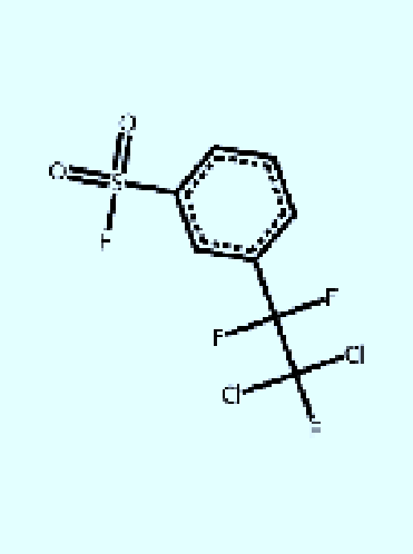 O=S(=O)(F)c1cccc(C(F)(F)C(F)(Cl)Cl)c1